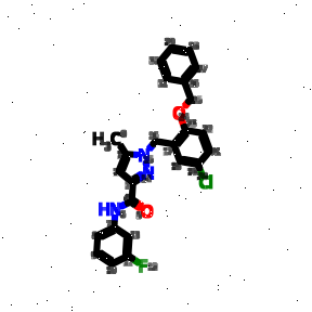 Cc1cc(C(=O)Nc2cccc(F)c2)nn1Cc1cc(Cl)ccc1OCc1ccccc1